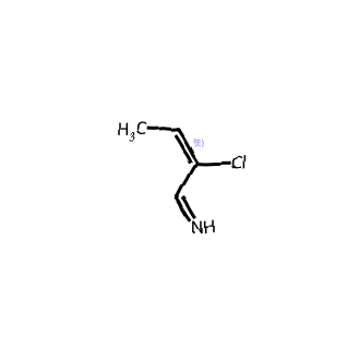 C/C=C(/Cl)C=N